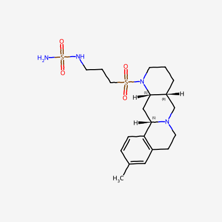 Cc1ccc2c(c1)CCN1C[C@H]3CCCN(S(=O)(=O)CCCNS(N)(=O)=O)[C@H]3C[C@@H]21